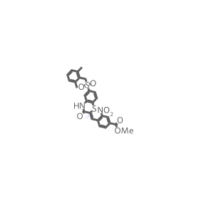 COC(=O)c1ccc(/C=C2\Sc3ccc(S(=O)(=O)Cc4c(C)cccc4C)cc3NC2=O)c([N+](=O)[O-])c1